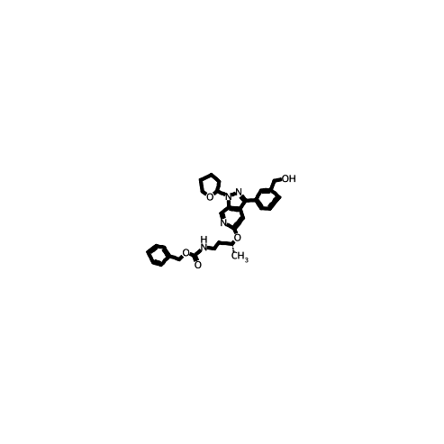 C[C@H](CCNC(=O)OCc1ccccc1)Oc1cc2c(-c3cccc(CO)c3)nn(C3CCCCO3)c2cn1